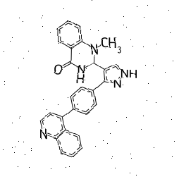 CN1c2ccccc2C(=O)NC1c1c[nH]nc1-c1ccc(-c2ccnc3ccccc23)cc1